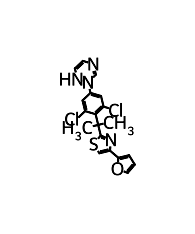 CC(C)(c1nc(-c2ccco2)cs1)c1c(Cl)cc(N2C=NC=CN2)cc1Cl